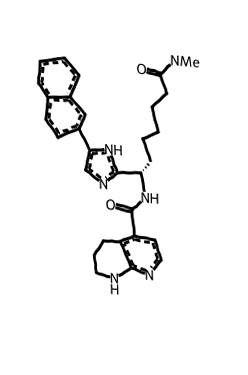 CNC(=O)CCCCC[C@H](NC(=O)c1ccnc2c1CCCN2)c1ncc(-c2ccc3ccccc3c2)[nH]1